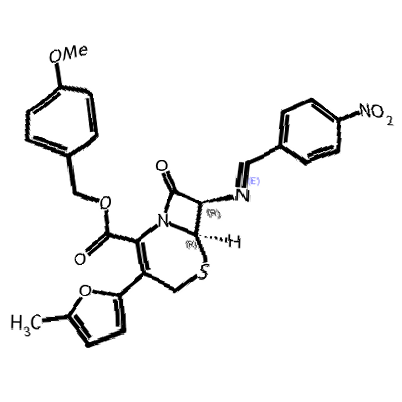 COc1ccc(COC(=O)C2=C(c3ccc(C)o3)CS[C@@H]3[C@H](/N=C/c4ccc([N+](=O)[O-])cc4)C(=O)N23)cc1